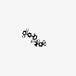 Cc1ccc(NC(=O)C2(c3ccc4c(c3)OCO4)CC2)cc1-c1ccc(N2C(=O)CCC2=O)cc1